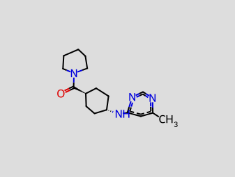 Cc1cc(N[C@H]2CC[C@H](C(=O)N3CCCCC3)CC2)ncn1